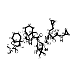 C[C@@H](C1(NC(=O)N[C@H](C(=O)N2C[C@H]3[C@@H]([C@H]2C(=O)N[C@@H](CCC2CC2)C(=O)C(=O)NC2CC2)C3(C)C)C2(C)CCCCC2)CCCCC1)S(=O)(=O)N(C)C